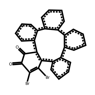 O=C1C(=O)c2c(c3ccccc3c3ccccc3c3ccccc3c3ccccc23)C(Br)=C1Br